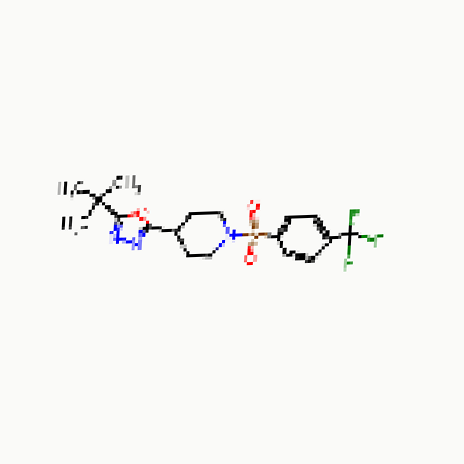 CC(C)(C)c1nnc(C2CCN(S(=O)(=O)c3ccc(C(F)(F)F)cc3)CC2)o1